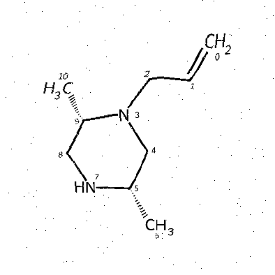 C=CCN1C[C@H](C)NC[C@@H]1C